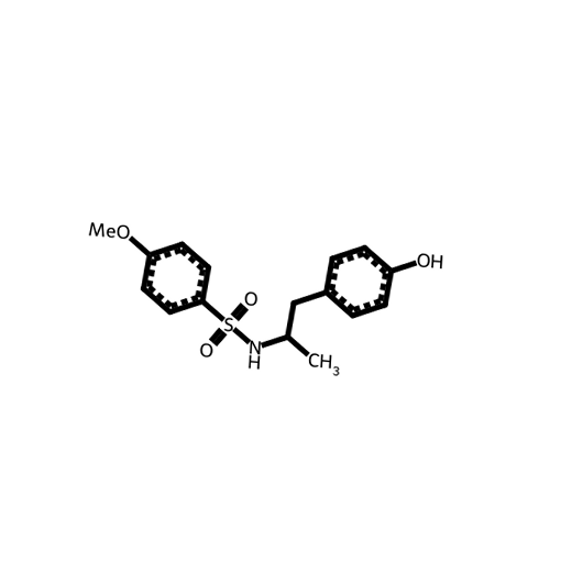 COc1ccc(S(=O)(=O)NC(C)Cc2ccc(O)cc2)cc1